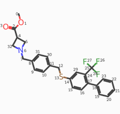 COC(=O)C1CN(Cc2ccc(CSc3ccc(-c4ccccc4)c(C(F)(F)F)c3)cc2)C1